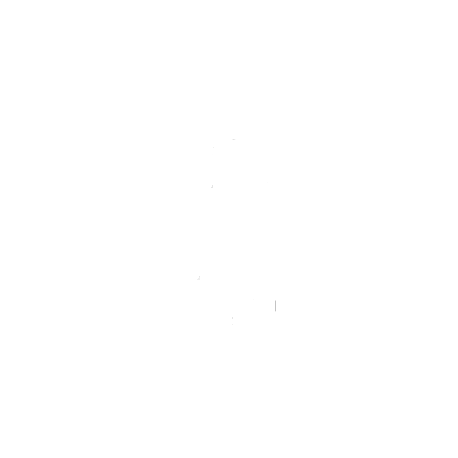 Ic1cccc([CH]Cc2cccc(I)c2)c1